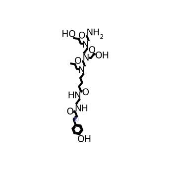 CC(=O)CN(CCCCC(=O)NCCNC(=O)/C=C/c1ccc(O)cc1)CCN(CCN(CCN)CC(=O)CO)CC(=O)O